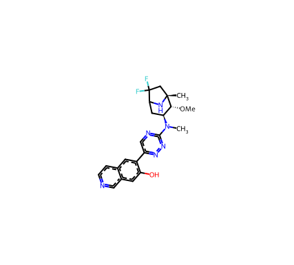 CO[C@@H]1[C@@H](N(C)c2ncc(-c3cc4ccncc4cc3O)nn2)CC2N[C@]1(C)CC2(F)F